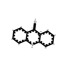 O=c1c2cc[c]cc2sc2ccccc12